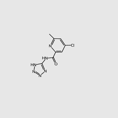 Cc1cc(Cl)cc(C(=O)Nc2nnn[nH]2)n1